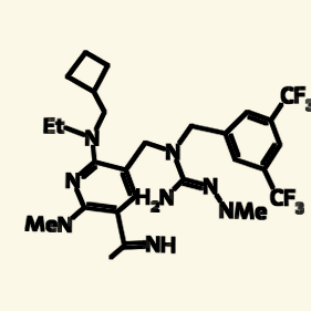 CCN(CC1CCC1)c1nc(NC)c(C(C)=N)cc1CN(Cc1cc(C(F)(F)F)cc(C(F)(F)F)c1)/C(N)=N/NC